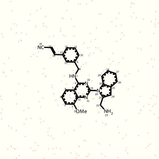 COc1cccc2c(NCc3cccc(C=CC#N)c3)nc(-n3c(CN)cc4ccccc43)nc12